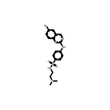 CN(C)CCNS(=O)(=O)c1ccc(Nc2ncc3cc(Br)ccc3n2)cc1